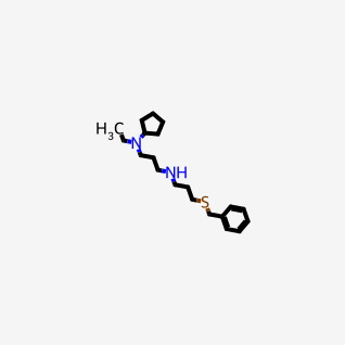 CCN(CCCNCCCSCc1ccccc1)C1CCCC1